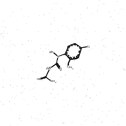 CCCN(C(=O)NC(=N)N)c1ccc(Cl)cc1C